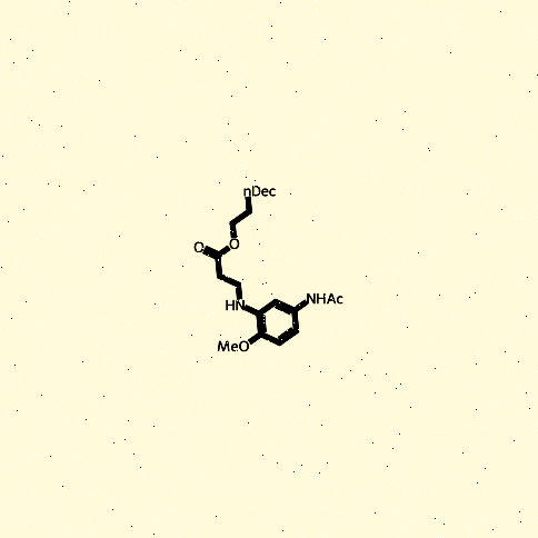 CCCCCCCCCCCCOC(=O)CCNc1cc(NC(C)=O)ccc1OC